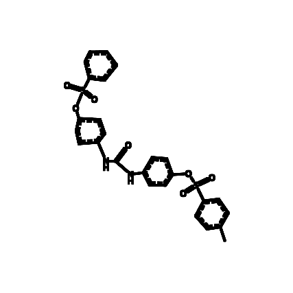 Cc1ccc(S(=O)(=O)Oc2ccc(NC(=O)Nc3ccc(OS(=O)(=O)c4ccccc4)cc3)cc2)cc1